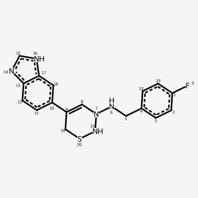 Fc1ccc(CNN2C=C(c3ccc4nc[nH]c4c3)CSN2)cc1